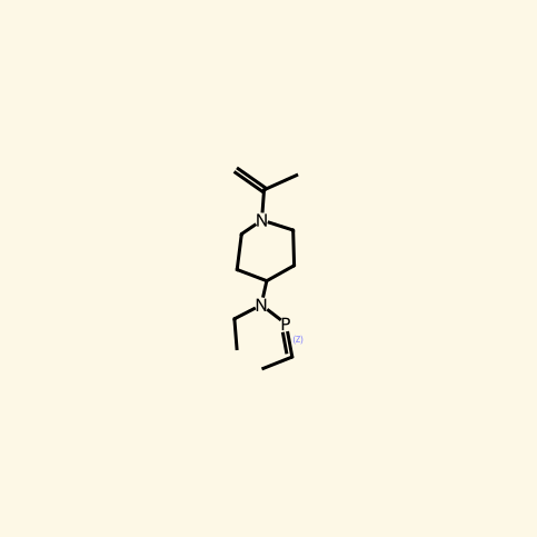 C=C(C)N1CCC(N(CC)/P=C\C)CC1